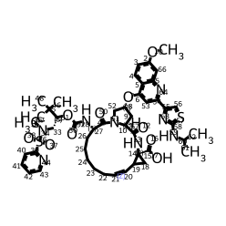 COc1ccc2c(O[C@@H]3C[C@H]4C(=O)N[C@]5(C(=O)O)CC5/C=C\CCCCC[C@H](NC(=O)O[C@H](CN(C)S(=O)(=O)c5ccccn5)C(C)(C)C)C(=O)N4C3)cc(-c3csc(NC(C)C)n3)nc2c1